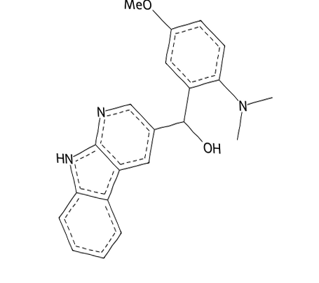 COc1ccc(N(C)C)c(C(O)c2cnc3[nH]c4ccccc4c3c2)c1